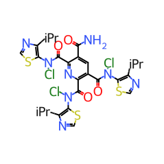 CC(C)c1ncsc1N(Cl)C(=O)c1cc(C(N)=O)c(C(=O)N(Cl)c2scnc2C(C)C)nc1C(=O)N(Cl)c1scnc1C(C)C